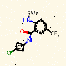 CSNc1ccc(C(F)(F)F)cc1C(=O)NC12CC(Cl)(C1)C2